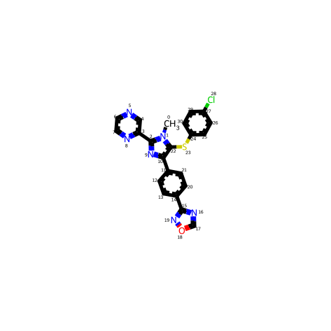 Cn1c(-c2cnccn2)nc(-c2ccc(-c3ncon3)cc2)c1Sc1ccc(Cl)cc1